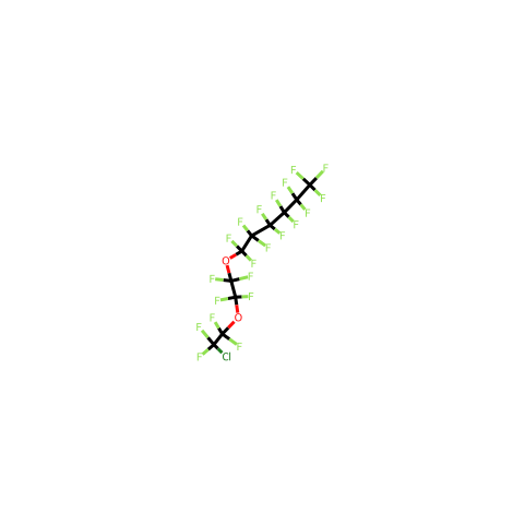 FC(F)(F)C(F)(F)C(F)(F)C(F)(F)C(F)(F)C(F)(F)OC(F)(F)C(F)(F)OC(F)(F)C(F)(F)Cl